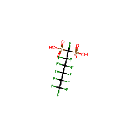 O=S(=O)(O)C(F)(C(F)(F)C(F)(F)C(F)(F)C(F)(F)C(F)(F)F)S(=O)(=O)O